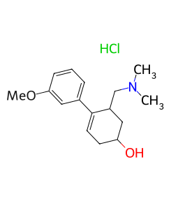 COc1cccc(C2=CCC(O)CC2CN(C)C)c1.Cl